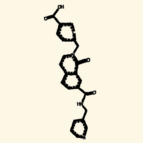 O=C(O)c1ccc(Cn2ccc3ccc(C(=O)NCc4cccnc4)cc3c2=O)cc1